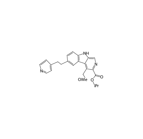 COCc1c(C(=O)OC(C)C)ncc2[nH]c3ccc(CCc4ccncc4)cc3c12